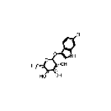 C[C@H]1OC(Oc2c[nH]c3cc(Cl)ccc23)[C@H](O)[C@@H](O)[C@H]1O